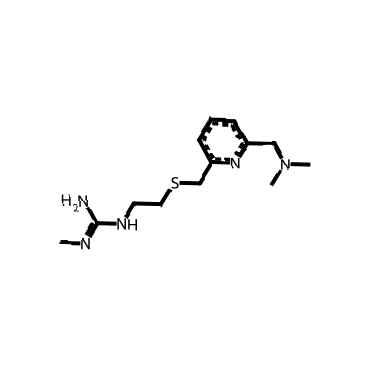 C/N=C(\N)NCCSCc1cccc(CN(C)C)n1